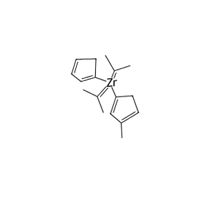 CC1=CC[C]([Zr]([C]2=CC=CC2)(=[C](C)C)=[C](C)C)=C1